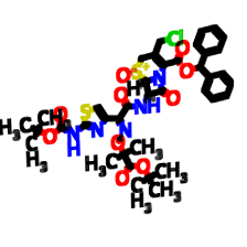 CC(C)(C)OC(=O)Nc1nc(C(=NOC(C)(C)C(=O)OC(C)(C)C)C(=O)N[C@@H]2C(=O)N3C(C(=O)OC(c4ccccc4)c4ccccc4)=C(CCl)C[S+]([O-])[C@H]23)cs1